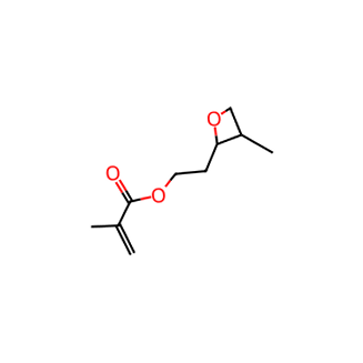 C=C(C)C(=O)OCCC1OCC1C